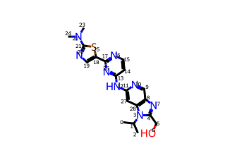 CC(C)n1c(CO)nc2cnc(Nc3ccnc(-c4cnc(N(C)C)s4)n3)cc21